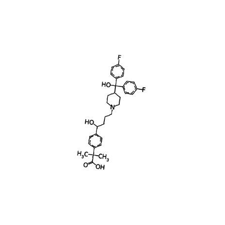 CC(C)(C(=O)O)c1ccc(C(O)CCCN2CCC(C(O)(c3ccc(F)cc3)c3ccc(F)cc3)CC2)cc1